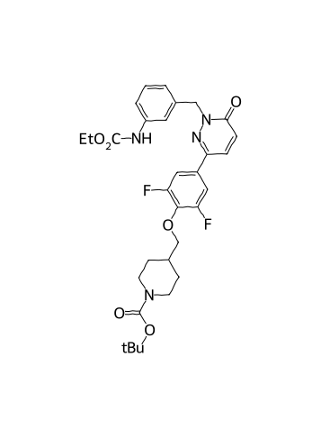 CCOC(=O)Nc1cccc(Cn2nc(-c3cc(F)c(OCC4CCN(C(=O)OC(C)(C)C)CC4)c(F)c3)ccc2=O)c1